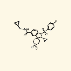 O=C(NCC1CC1)c1ccc2c(c1)C1(CCS(=O)(=O)CC1)C(C1CC1)N2S(=O)(=O)c1ccc(F)cc1